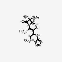 COC1(N)C(=O)N2C(C(=O)O)=C(C(CC(=O)O)Sc3nnn[nH]3)CS[C@H]21